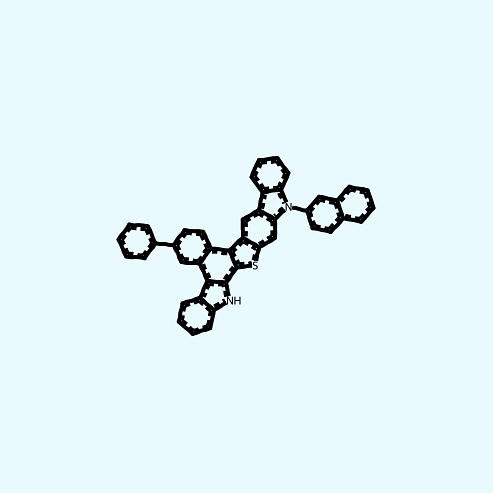 c1ccc(-c2ccc3c(c2)c2c4ccccc4[nH]c2c2sc4cc5c(cc4c32)c2ccccc2n5-c2ccc3ccccc3c2)cc1